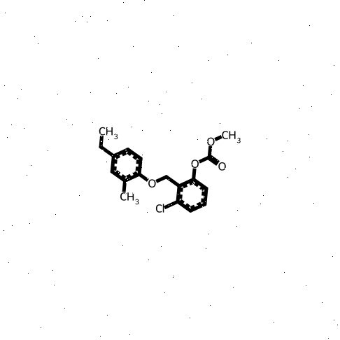 CCc1ccc(OCc2c(Cl)cccc2OC(=O)OC)c(C)c1